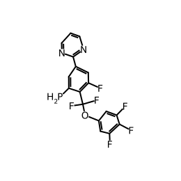 Fc1cc(OC(F)(F)c2c(F)cc(-c3ncccn3)cc2P)cc(F)c1F